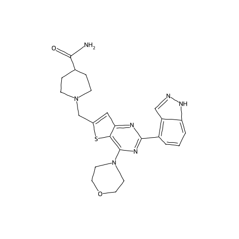 NC(=O)C1CCN(Cc2cc3nc(-c4cccc5[nH]ncc45)nc(N4CCOCC4)c3s2)CC1